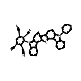 N#Cc1cc(C#N)c(C#N)c(-n2c3ccccc3c3c4oc5c(ccc6c5c5ccccc5n6-c5ccccc5)c4ccc32)c1C#N